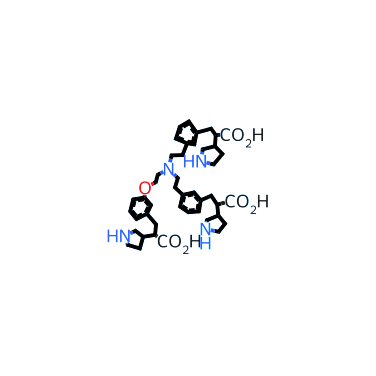 O=C(O)C(Cc1cccc(CCN(CCOc2cccc(CC(C(=O)O)C3CCNC3)c2)CCc2cccc(CC(C(=O)O)C3CCNC3)c2)c1)C1CCNC1